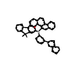 CC1(C)c2ccccc2-c2ccc(N(c3cccc(-c4ccc5ccccc5c4)c3)c3cc4ccccc4c4ccc5ccccc5c34)cc21